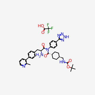 Cc1ncccc1-c1ccc(C[C@H](N)C(=O)N(c2ccc(-c3nn[nH]n3)cc2)C(=O)[C@H]2CC[C@H](CNC(=O)OC(C)(C)C)CC2)cc1.O=C(O)C(F)(F)F